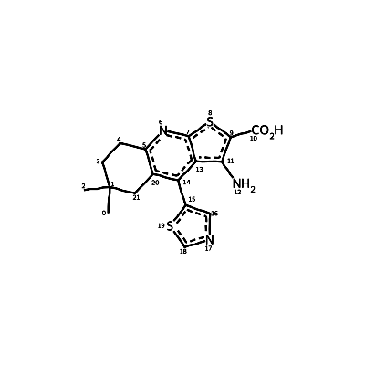 CC1(C)CCc2nc3sc(C(=O)O)c(N)c3c(-c3cncs3)c2C1